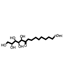 CCCCCCCCCCCCCCCCCCC(=O)[C@H](O)[C@@H](O)[C@H](O)[C@H](O)CO